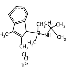 CC1=C(C)C([Si](C)(C)NC(C)(C)C)c2ccccc21.[Cl-].[Cl-].[Ti+2]